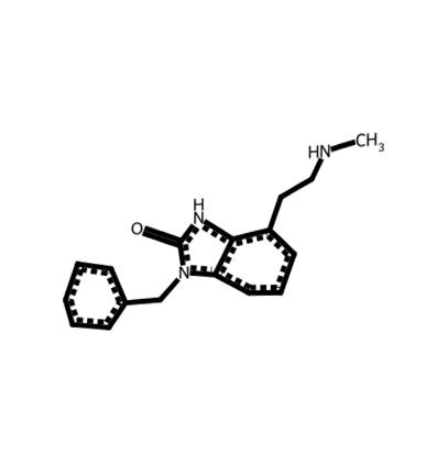 CNCCc1cccc2c1[nH]c(=O)n2Cc1ccccc1